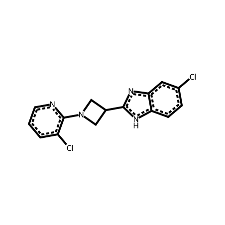 Clc1ccc2[nH]c(C3CN(c4ncccc4Cl)C3)nc2c1